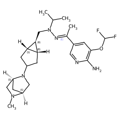 C/C(=N\N(C[C@H]1[C@@H]2CC(N3C[C@@H]4C[C@H]3CN4C)C[C@@H]21)C(C)C)c1cnc(N)c(OC(F)F)c1